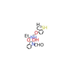 CCC(NCCOc1cccc(S)c1C)OC1c2ccccc2N(C=O)C1O